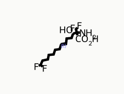 NC(C(=O)O)(C(F)F)C(O)CC/C=C/CCCCCCC(F)F